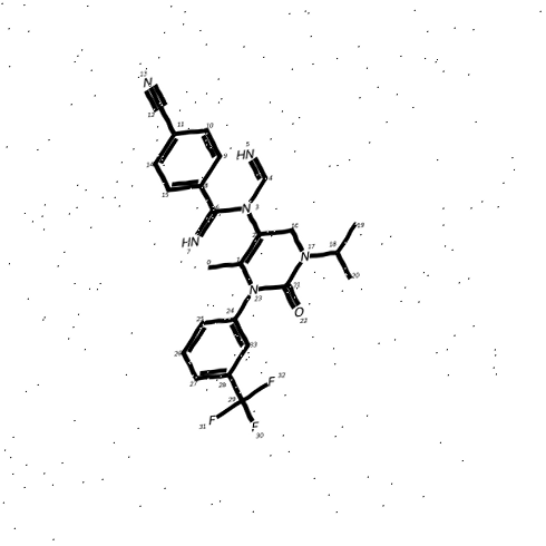 CC1=C(N(C=N)C(=N)c2ccc(C#N)cc2)CN(C(C)C)C(=O)N1c1cccc(C(F)(F)F)c1